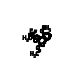 CCOC(=O)C1=C(c2c(F)cccc2OC)CC(C)(C(F)(F)F)O1